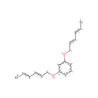 CC/C=C/C=C/COc1cccc(OC/C=C/C=C/CC)c1